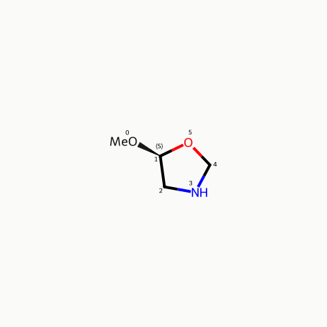 CO[C@@H]1CNCO1